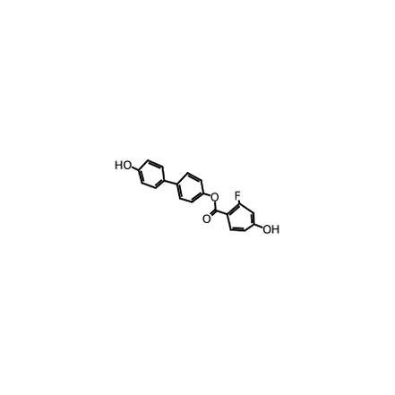 O=C(Oc1ccc(-c2ccc(O)cc2)cc1)c1ccc(O)cc1F